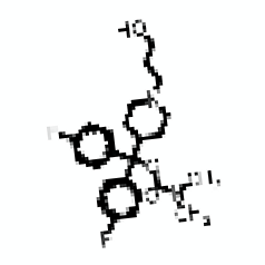 CN(C)C(=O)OC(c1ccc(F)cc1)(c1ccc(F)cc1)C1CCN(CCCO)CC1